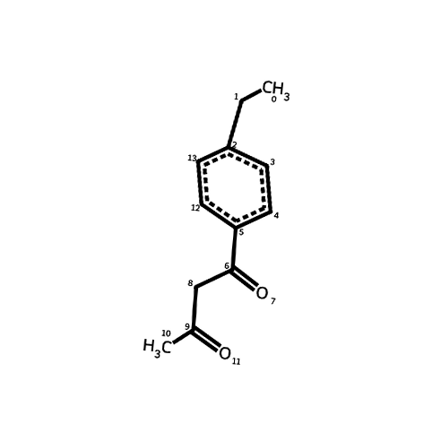 CCc1ccc(C(=O)CC(C)=O)cc1